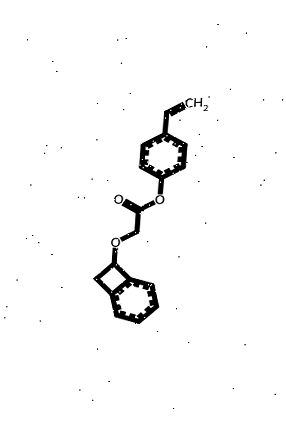 C=Cc1ccc(OC(=O)COC2Cc3ccccc32)cc1